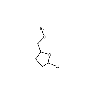 CCOCC1CCC(CC)O1